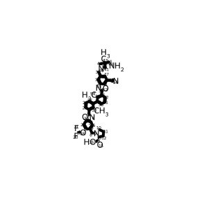 Cc1c(-c2nc3cc(CN4CCC[C@H]4C(=O)O)c(OC(F)F)cc3o2)cccc1-c1cccc(-c2nc3cc(CN4CC(C)(CN)C4)cc(C#N)c3o2)c1C